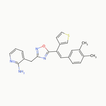 Cc1ccc(/C=C(\c2ccsc2)c2nc(Cc3cccnc3N)no2)cc1C